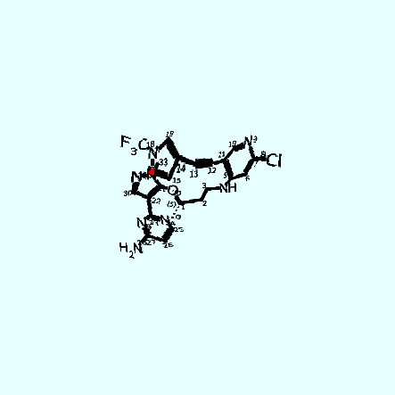 C[C@@H](CCNc1cc(Cl)ncc1C#Cc1cnn(C(F)(F)F)c1)Oc1c(-c2nccc(N)n2)cnn1C